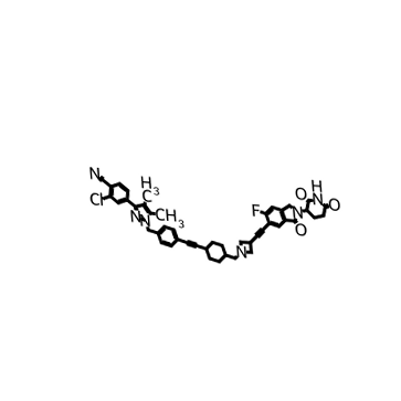 Cc1c(-c2ccc(C#N)c(Cl)c2)nn(Cc2ccc(C#CC3CCC(CN4CC(C#Cc5cc6c(cc5F)CN(C5CCC(=O)NC5=O)C6=O)C4)CC3)cc2)c1C